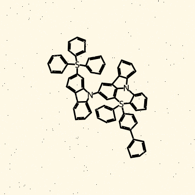 c1ccc(-c2ccc(S3(c4ccccc4)c4ccccc4-n4c5ccccc5c5cc(-n6c7ccccc7c7ccc(S(c8ccccc8)(c8ccccc8)c8ccccc8)cc76)cc3c54)cc2)cc1